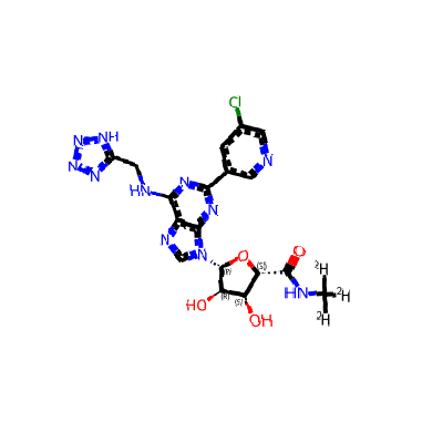 [2H]C([2H])([2H])NC(=O)[C@H]1O[C@@H](n2cnc3c(NCc4nnn[nH]4)nc(-c4cncc(Cl)c4)nc32)[C@H](O)[C@@H]1O